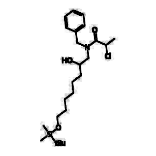 CC(Cl)C(=O)N(Cc1ccccc1)CC(O)CCCCCCO[Si](C)(C)C(C)(C)C